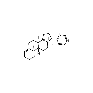 C[C@]12CC[C@H]3[C@@H](CCC4=CCCC[C@@]43C)[C@@H]1CC[C@@H]2c1ccncn1